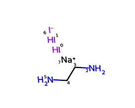 I.I.NCCN.[I-].[Na+]